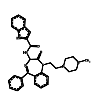 CN1CCN(CCN2C(=O)C(NC(=O)c3cc4ccccc4[nH]3)N=C(c3ccccc3)c3ccccc32)CC1